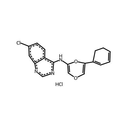 Cl.Clc1ccc2c(NC3=COC=C(C4=CC=CCC4)O3)ncnc2c1